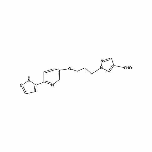 O=Cc1cnn(CCCOc2ccc(-c3ccn[nH]3)nc2)c1